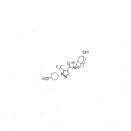 O=C(N[C@H]1C2CC3CC1C[C@](O)(C3)C2)c1cnn([C@H]2CC[C@H](O)CC2)c1C(F)(F)F